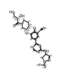 N#Cc1cc(-c2ncnc(NC3C=NN(C(F)F)C3)n2)ccc1O[C@H]1CCN(C(=O)[C@@H](O)CO)C[C@H]1F